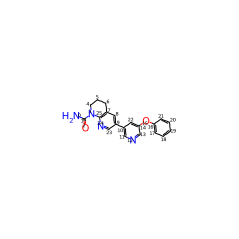 NC(=O)N1CCCc2cc(-c3cncc(Oc4ccccc4)c3)cnc21